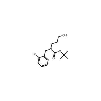 CC(C)(C)OC(=O)N(CCCO)Cc1ccccc1Br